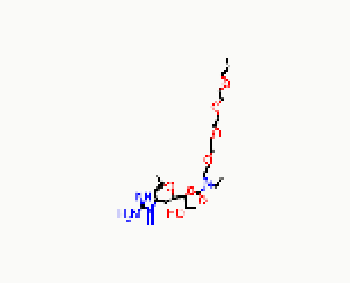 CCCOCCOCCOCCOCCN(CC)C(=O)OC(C(C)O)C1CC(NC(=N)N)C=C(C)O1